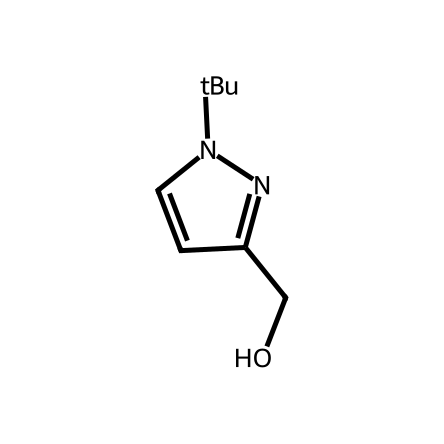 CC(C)(C)n1ccc(CO)n1